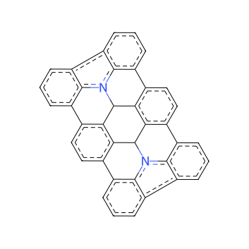 c1cc2c3c(c1)c1cccc4c1n3C1c3c-2ccc2c3C3c5c(ccc-4c51)-c1cccc4c5cccc-2c5n3c14